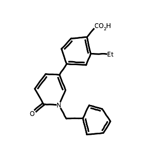 CCc1cc(-c2ccc(=O)n(Cc3ccccc3)c2)ccc1C(=O)O